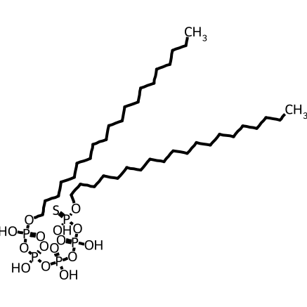 CCCCCCCCCCCCCCCCCCCCOP(=O)(O)OP(=O)(O)OP(=O)(O)OP(=O)(O)O[P@@](O)(=S)OCCCCCCCCCCCCCCCCCCCC